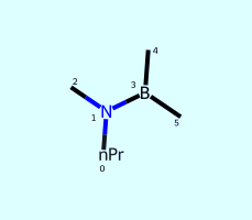 CCCN(C)B(C)C